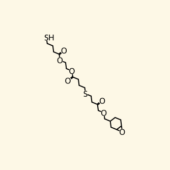 O=C(CCSCCCC(=O)OCCOC(=O)CCCS)COCC1CCC2OC2C1